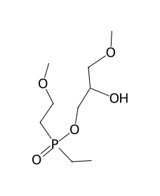 CCP(=O)(CCOC)OCC(O)COC